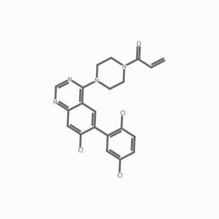 C=CC(=O)N1CCN(c2ncnc3cc(Cl)c(-c4cc(Cl)ccc4Cl)cc23)CC1